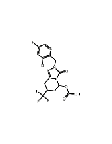 O=C(O)OC1CC(C(F)(F)F)Cc2nn(Cc3ncc(F)cc3Cl)c(=O)n21